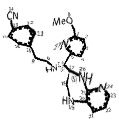 COc1cccc([C@@H](NCCc2ccc(C#N)cc2)[C@@H]2CNc3cccnc3N2)n1